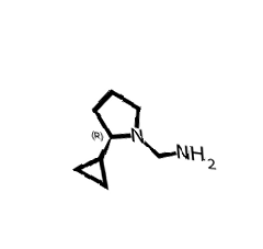 NCN1CCC[C@@H]1C1CC1